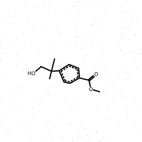 COC(=O)c1ccc(C(C)(C)CO)cc1